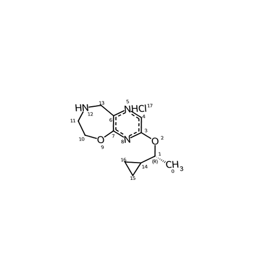 C[C@@H](Oc1cnc2c(n1)OCCNC2)C1CC1.Cl